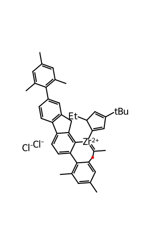 CCC1C=C(C(C)(C)C)C=[C]1[Zr+2](=[C](C)C)[c]1c(-c2c(C)cc(C)cc2C)ccc2c1Cc1cc(-c3c(C)cc(C)cc3C)ccc1-2.[Cl-].[Cl-]